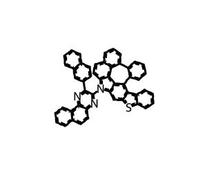 c1ccc2c(c1)-c1cccc3ccc4c(c13)c1c-2c2c(cc1n4-c1nc3ccc4ccccc4c3nc1-c1ccc3ccccc3c1)sc1ccccc12